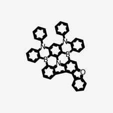 c1ccc(N2c3ccccc3B3c4c2cc2c5c4-n4c6c3cccc6c3c6c(cc(c34)B5c3ccccc3N2c2ccccc2)oc2ccccc26)cc1